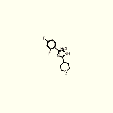 Cl.Fc1ccc(-c2c[nH]c(C3CCNCC3)n2)c(F)c1